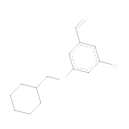 O=Cc1cc(Br)cc(OCC2CCCCC2)c1